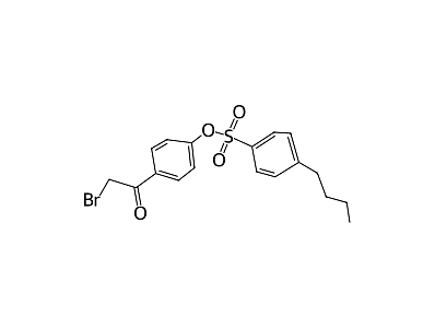 CCCCc1ccc(S(=O)(=O)Oc2ccc(C(=O)CBr)cc2)cc1